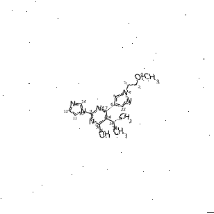 COCCn1cc(-c2nc(-n3ccnc3)nc(O)c2C(C)C)cn1